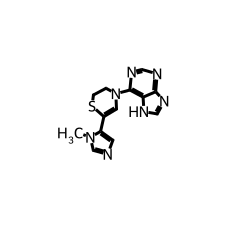 Cn1cncc1C1=CN(c2ncnc3nc[nH]c23)CCS1